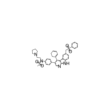 CS(=O)(=O)N(CCN1CCCC1)c1ccc(-c2cnc3[nH]c4ccc(CS(=O)(=O)c5ccccc5)cc4c3c2C2=CC=CCC2)cc1